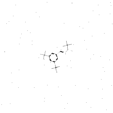 C[C@@H](/N=C/c1cc(C(C)(C)C)cc(C(C)(C)C)c1)C(C)(C)C